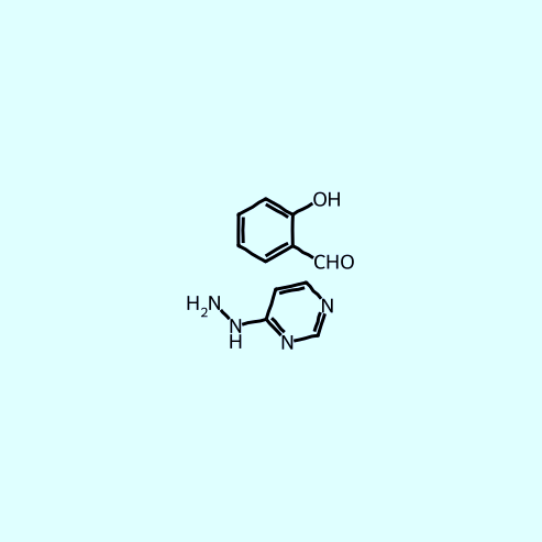 NNc1ccncn1.O=Cc1ccccc1O